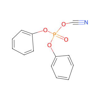 N#COP(=O)(Oc1ccccc1)Oc1ccccc1